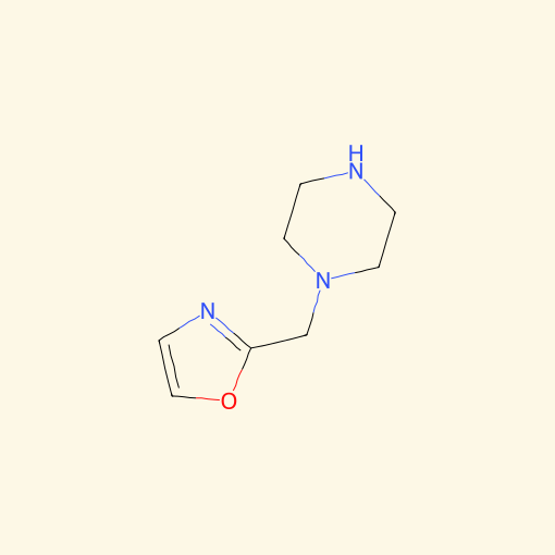 c1coc(CN2CCNCC2)n1